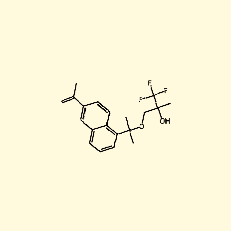 C=C(C)c1ccc2c(C(C)(C)OCC(C)(O)C(F)(F)F)cccc2c1